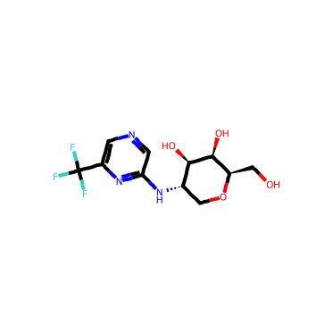 OC[C@H]1OC[C@H](Nc2cncc(C(F)(F)F)n2)[C@@H](O)[C@H]1O